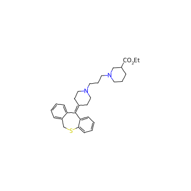 CCOC(=O)C1CCCN(CCCN2CCC(=C3c4ccccc4CSc4ccccc43)CC2)C1